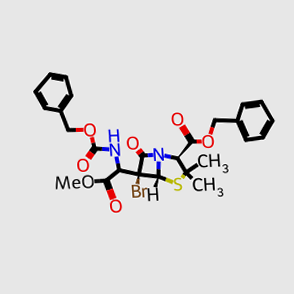 COC(=O)C(NC(=O)OCc1ccccc1)[C@]1(Br)C(=O)N2[C@@H](C(=O)OCc3ccccc3)C(C)(C)S[C@@H]21